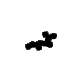 C[C@@H]1C2=C(CCC(C3=CC4=C(CC3)CCC(Cc3cccc(C5=CC=CCC5)c3)C3=C4CCCC3)=C2)c2ccccc2CC1C1CC(C2=CC=NCC2)CC(C2C=CC=CC2)C1